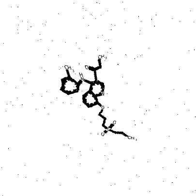 CCCS(=O)(=O)CCCOc1cccc2c(Nc3ccccc3C)c(C(=O)CC)cnc12